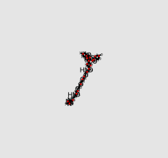 Cc1ccc(S(=O)(=O)CC(CS(=O)(=O)c2ccc(C)cc2)C(=O)c2ccc(C(=O)NCCOCCOCCOCCOCCC(=O)NCCCc3nnc(C)nn3)cc2)cc1